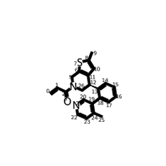 C=CC(=O)N1Cc2sc(C)cc2[C@@H](c2ccccc2-c2cnccc2C)C1